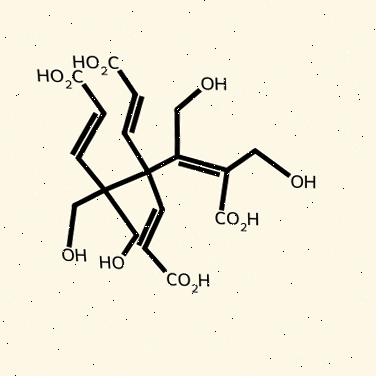 O=C(O)C=CC(CO)(CO)C(C=CC(=O)O)(C=CC(=O)O)C(CO)=C(CO)C(=O)O